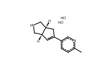 Cc1ccc(C2=C[C@@H]3CNC[C@@H]3C2)cn1.Cl.Cl